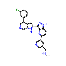 CCNCc1cncc(-c2ccc3[nH]nc(-c4cc5c(-c6cccc(F)c6)cncc5[nH]4)c3n2)c1